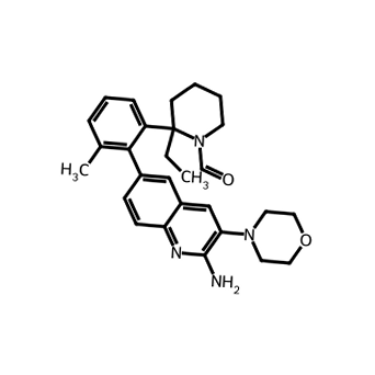 CCC1(c2cccc(C)c2-c2ccc3nc(N)c(N4CCOCC4)cc3c2)CCCCN1C=O